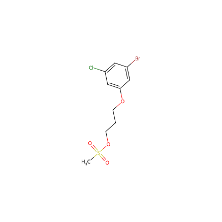 CS(=O)(=O)OCCCOc1cc(Cl)cc(Br)c1